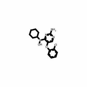 Nc1ncc(Oc2ccccc2Cl)c(N(O)C2CCCCC2)n1